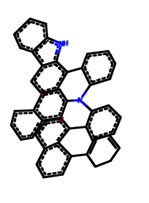 C1=CCCC(c2cccc3cccc(-c4ccccc4N(c4ccc5ccccc5c4)c4ccccc4-c4cccc5c4[nH]c4ccccc45)c23)=C1